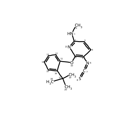 CNc1ccc(N=C=S)c(Oc2ccccc2C(C)(C)C)n1